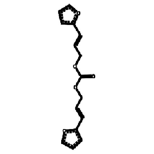 O=C(OCC=Cc1ccco1)OCC=Cc1ccco1